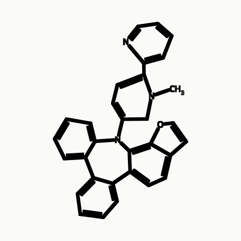 CN1CC(N2c3ccccc3-c3ccccc3-c3ccc4ccoc4c32)=CC=C1c1ccccn1